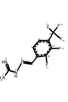 N=C(N)N/N=C/c1ccc(C(F)(F)F)c(F)c1F